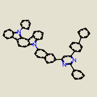 c1ccc(-c2ccc(-c3cc(-c4ccc5ccc(-n6c7ccccc7c7c6ccc6c8ccccc8n(-c8ccccc8)c67)cc5c4)nc(-c4ccccc4)n3)cc2)cc1